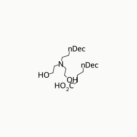 CCCCCCCCCCCCCC(=O)O.CCCCCCCCCCCCN(CCO)CCO